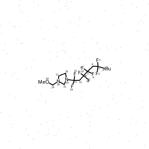 CCC(C)C(F)(F)CC(F)(F)C(F)(F)CC(F)(F)N1CCN(COC)C1